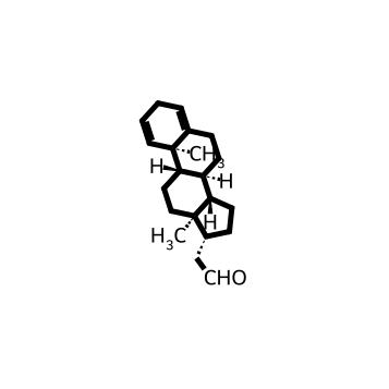 C[C@]12CC[C@H]3[C@@H](CCC4=CCC=C[C@@]43C)[C@@H]1CC[C@@H]2CC=O